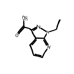 CCn1nc(C(=O)O)c2cccnc21